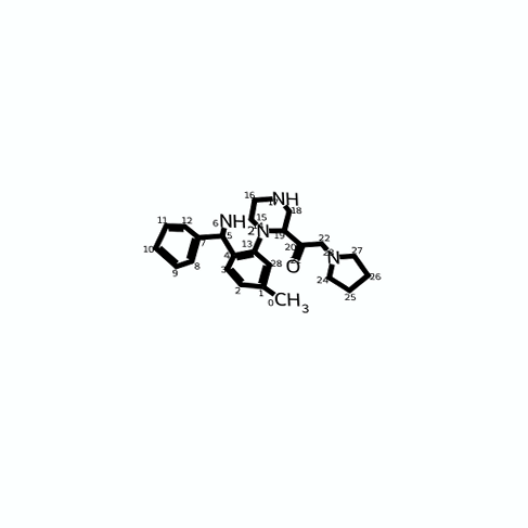 Cc1ccc(C(N)c2ccccc2)c(N2CCNCC2C(=O)CN2CCCC2)c1